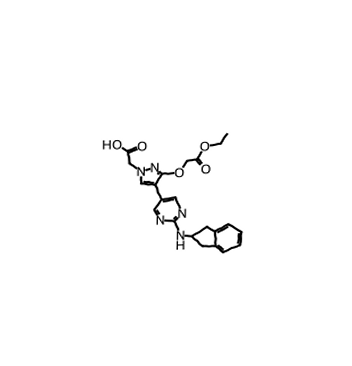 CCOC(=O)COc1nn(CC(=O)O)cc1-c1cnc(NC2Cc3ccccc3C2)nc1